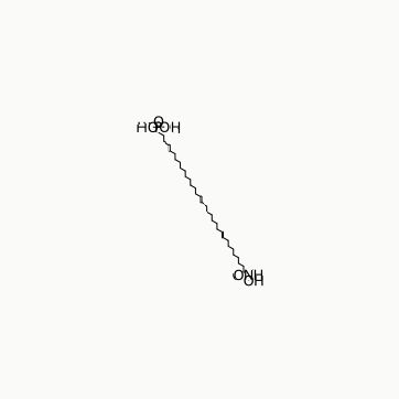 O=C(CCCCCCCCCCCCCCCCCCCCCCCCCCCCCCCCP(=O)(O)O)NO